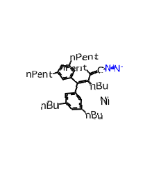 CCCCCC(=C=[N+]=[N-])C(CCCC)=C(c1cc(CCCC)cc(CCCC)c1)c1cc(CCCCC)cc(CCCCC)c1.[Ni]